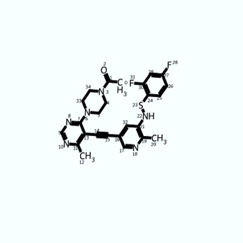 CC(=O)N1CCN(c2ncnc(C)c2C#Cc2cnc(C)c(NSc3ccc(F)cc3F)c2)CC1